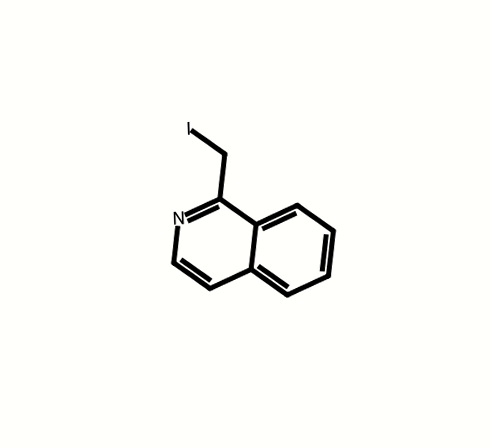 ICc1nccc2ccccc12